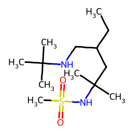 CCC(CNC(C)(C)C)CC(C)(C)NS(C)(=O)=O